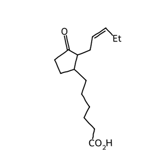 CC/C=C\CC1C(=O)CCC1CCCCCC(=O)O